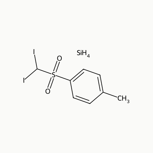 Cc1ccc(S(=O)(=O)C(I)I)cc1.[SiH4]